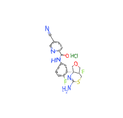 Cl.N#Cc1ccc(C(=O)Nc2ccc(F)c([C@]34COC[C@@]3(F)CSC(N)=N4)c2)nc1